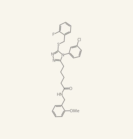 COc1ccccc1CNC(=O)CCCCc1nnc(SCc2ccccc2F)n1-c1cccc(Cl)c1